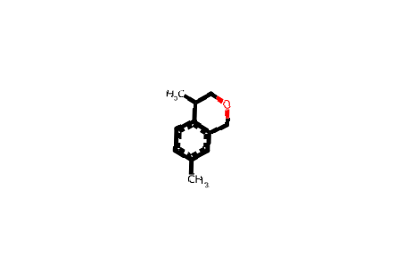 Cc1ccc2c(c1)COCC2C